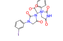 O=C1C[N+](c2cccc(I)c2)(C(C(=O)[O-])N2C(=O)CN(c3cccc(I)c3)C2=O)C(=O)N1